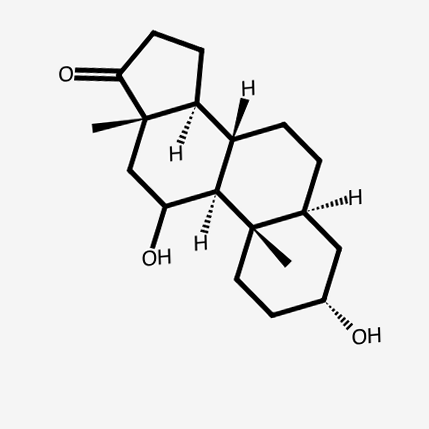 C[C@]12CC[C@@H](O)C[C@@H]1CC[C@@H]1[C@@H]2C(O)C[C@]2(C)C(=O)CC[C@@H]12